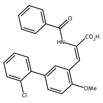 COc1ccc(-c2ccccc2Cl)cc1/C=C(\NC(=O)c1ccccc1)C(=O)O